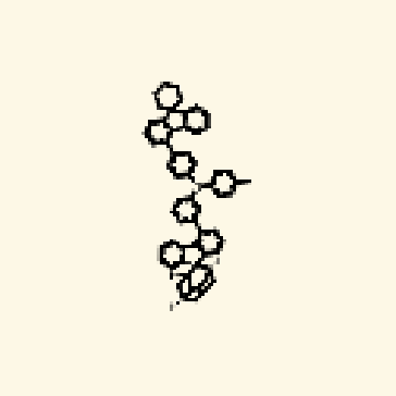 Cc1ccc(N(c2ccc(-c3cccc4c3-c3ccccc3C43CCCCC3)cc2)c2cccc(-c3cccc4c3-c3ccccc3[C@]43[C@@H]4CC5C[C@@H](C4)C[C@@H]3C5)c2)cc1